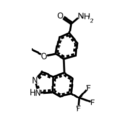 COc1cc(C(N)=O)ccc1-c1cc(C(F)(F)F)cc2[nH]ncc12